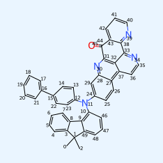 CC1(C)c2ccccc2-c2c(N(c3ccc(-c4ccccc4)cc3)c3ccc4c(c3)nc3c5c(nccc54)-c4ncccc4C3=O)cccc21